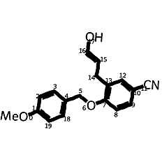 COc1ccc(COc2ccc(C#N)cc2CC=CO)cc1